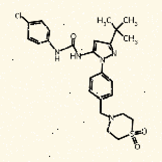 CC(C)(C)c1cc(NC(=O)Nc2ccc(Cl)cc2)n(-c2ccc(CN3CCS(=O)(=O)CC3)cc2)n1